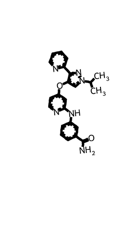 CC(C)n1cc(Oc2ccnc(Nc3cccc(C(N)=O)c3)c2)c(-c2ccccn2)n1